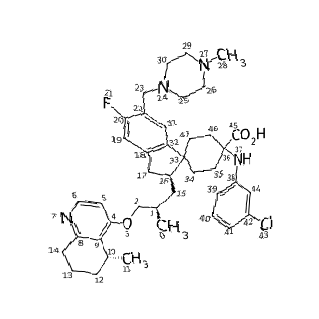 C[C@@H](COc1ccnc2c1[C@H](C)CCC2)C[C@H]1Cc2cc(F)c(CN3CCN(C)CC3)cc2C12CCC(Nc1cccc(Cl)c1)(C(=O)O)CC2